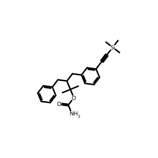 CC(C)(OC(N)=O)C(Cc1ccccc1)Cc1cccc(C#C[Si](C)(C)C)c1